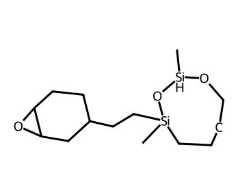 C[SiH]1OCCCC[Si](C)(CCC2CCC3OC3C2)O1